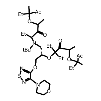 CCC(C(=O)C(C)OC(C)(CC)C(C)=O)N(C[C@@H](COc1nsnc1N1CCOCC1)OC(CC)(CC)C(=O)C(C)OC(C)(CC)C(C)=O)C(C)(C)C